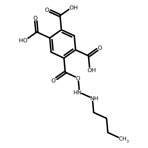 CCCCNNOC(=O)c1cc(C(=O)O)c(C(=O)O)cc1C(=O)O